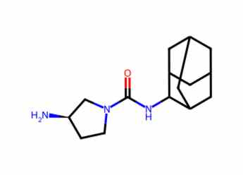 N[C@@H]1CCN(C(=O)NC2C3CC4CC(C3)CC2C4)C1